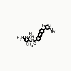 Cc1cc(N)nc(C)c1CNC(=O)c1ccc2c(c1)C1OC2c2cc(-c3cc(OC(C)C)ncc3F)ccc21